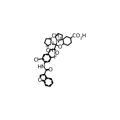 C[C@@H]1CC[C@H](C)N1C(OC1CCC(C(=O)O)CC1)(C(=O)Cc1cc(Cl)c(NC(=O)c2coc3ccccc23)cc1F)N1CCCC1